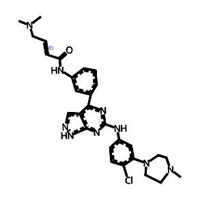 CN(C)C/C=C/C(=O)Nc1cccc(-c2nc(Nc3ccc(Cl)c(N4CCN(C)CC4)c3)nc3[nH]ncc23)c1